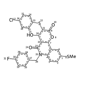 CSc1ccc2c(c1)c1oc(=O)c(Sc3ccc(Cl)cc3)c(O)c1c(=O)n2Cc1ccc(F)cc1